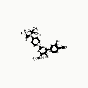 CNc1nc(N2CCC(N(C(=O)O)C(C)(C)C)CC2)nc(-c2ccc(C#N)c(F)c2)c1Br